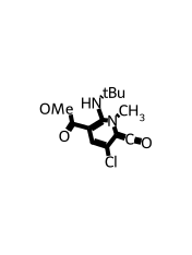 COC(=O)C1=C(NC(C)(C)C)N(C)C(=C=O)C(Cl)=C1